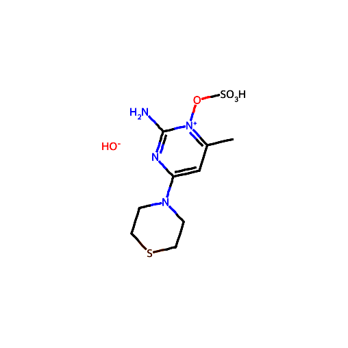 Cc1cc(N2CCSCC2)nc(N)[n+]1OS(=O)(=O)O.[OH-]